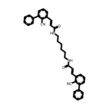 N#Cc1c(C=CC(=O)NCCCCCCNC(=O)C=Cc2cccc(-c3ccccc3)c2C#N)cccc1-c1ccccc1